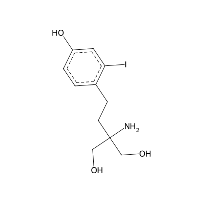 NC(CO)(CO)CCc1ccc(O)cc1I